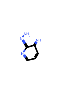 N=C1C=CC=N/C1=N/N